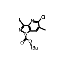 Cc1cc2c(nc1Cl)c(I)nn2C(=O)OC(C)(C)C